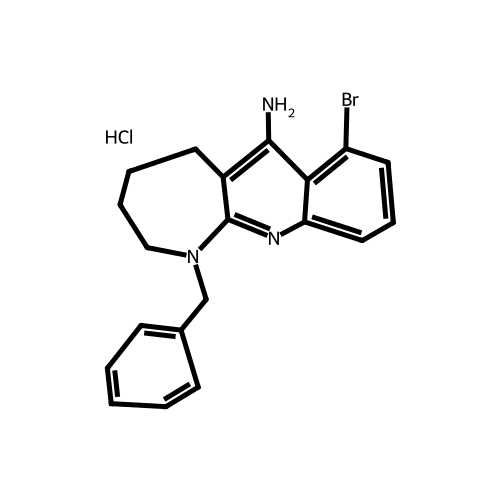 Cl.Nc1c2c(nc3cccc(Br)c13)N(Cc1ccccc1)CCCC2